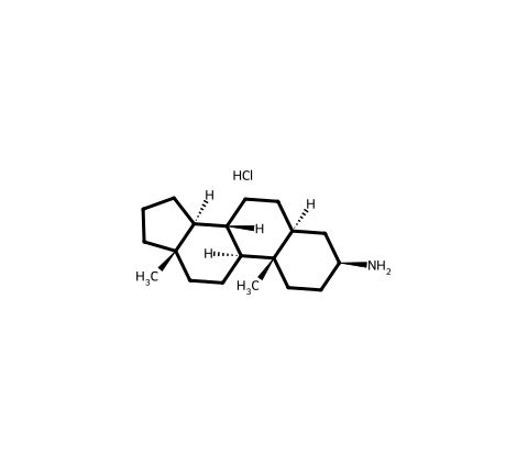 C[C@@]12CCC[C@H]1[C@@H]1CC[C@H]3C[C@@H](N)CC[C@]3(C)[C@H]1CC2.Cl